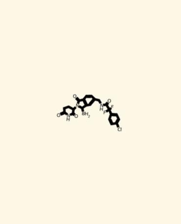 BC1c2cc(CNC(=O)C(F)(F)c3ccc(Cl)cc3)ccc2C(=O)N1C1CCC(=O)NC1=O